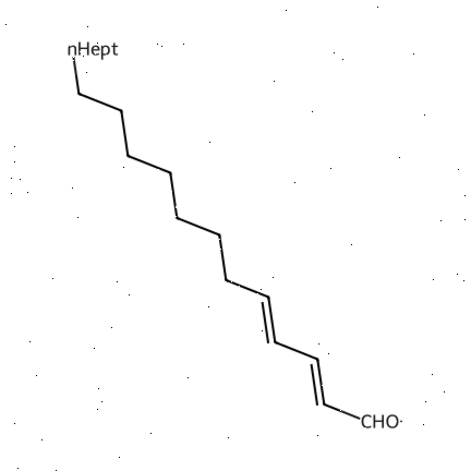 CCCCCCCCCCCCCC/C=C/C=C/[C]=O